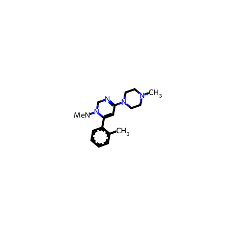 CNN1CN=C(N2CCN(C)CC2)C=C1c1ccccc1C